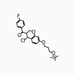 C[Si](C)(C)OCCCOc1ccc2c(c1)OCC(C(=O)c1ccc(F)cc1)C2Cl